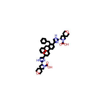 O=C(O)N1CC2(CCOCC2)C[C@H]1c1nc(-c2ccc(-c3ccc(-c4c[nH]c([C@@H]5CC6(CCOCC6)CN5C(=O)O)n4)c(Cc4ccccc4)c3Cc3ccccc3)cc2)c[nH]1